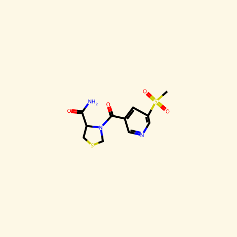 CS(=O)(=O)c1cncc(C(=O)N2CSCC2C(N)=O)c1